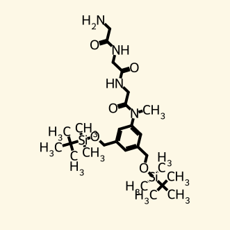 CN(C(=O)CNC(=O)CNC(=O)CN)c1cc(CO[Si](C)(C)C(C)(C)C)cc(CO[Si](C)(C)C(C)(C)C)c1